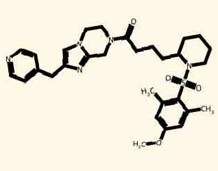 COc1cc(C)c(S(=O)(=O)N2CCCCC2CCCC(=O)N2CCn3cc(Cc4ccncc4)nc3C2)c(C)c1